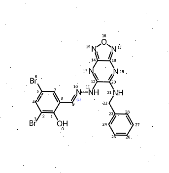 Oc1c(Br)cc(Br)cc1/C=N/Nc1nc2nonc2nc1NCc1ccccc1